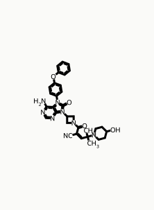 CC(C)(/C=C(/C#N)C(=O)N1CC(n2c(=O)n(-c3ccc(Oc4ccccc4)cc3)c3c(N)ncnc32)C1)N1CCC(O)CC1